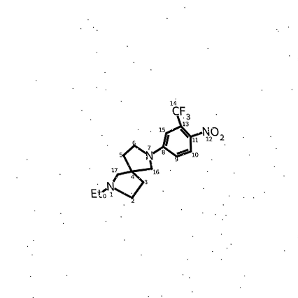 CCN1CCC2(CCN(c3ccc([N+](=O)[O-])c(C(F)(F)F)c3)C2)C1